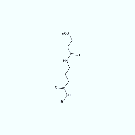 CCCCCCCCCCC(=O)NCCCC(=O)NCC